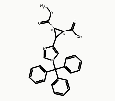 COC(=O)[C@H]1C(c2cn(C(c3ccccc3)(c3ccccc3)c3ccccc3)cn2)[C@@H]1C(=O)O